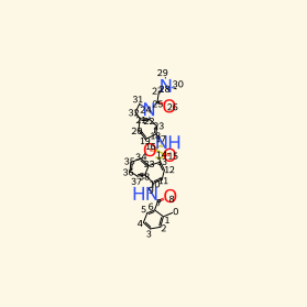 Cc1ccccc1C(=O)Nc1ccc(S(=O)(=O)Nc2ccc3c(c2)N(C(=O)CN(C)C)CC3)c2ccccc12